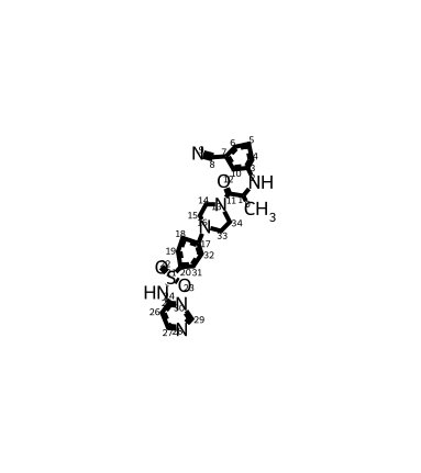 CC(Nc1cccc(C#N)c1)C(=O)N1CCN(c2ccc(S(=O)(=O)Nc3ccncn3)cc2)CC1